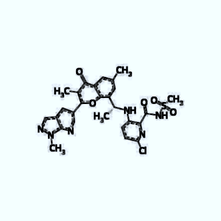 Cc1cc([C@@H](C)Nc2ccc(Cl)nc2C(=O)NS(C)(=O)=O)c2oc(-c3cnc4c(cnn4C)c3)c(C)c(=O)c2c1